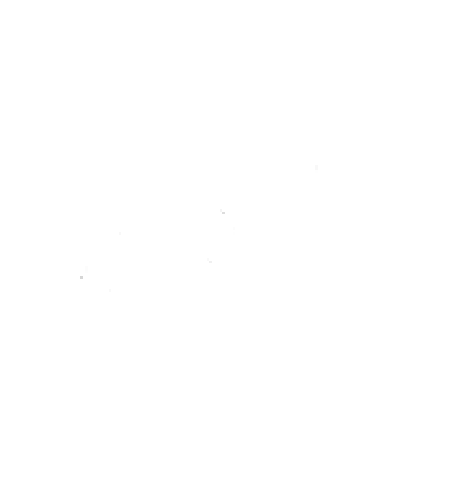 Cc1ccc(NC(=O)c2cccc(C(F)(F)F)c2)cc1-n1c(C)c2cnc(NNc3ccccc3)nc2nc1=O